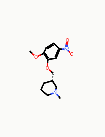 COc1ccc([N+](=O)[O-])cc1OC[C@H]1CCCN(C)C1